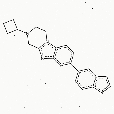 c1cn2cc(-c3ccc4c(c3)nc3n4CCN(C4CCC4)C3)ccc2n1